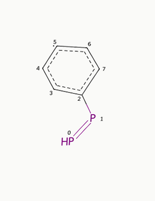 P=Pc1cc[c]cc1